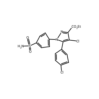 CCOC(=O)c1nn(-c2ccc(S(N)(=O)=O)cc2)c(-c2ccc(Cl)cc2)c1Cl